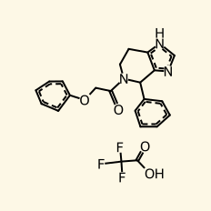 O=C(COc1ccccc1)N1CCc2[nH]cnc2C1c1ccccc1.O=C(O)C(F)(F)F